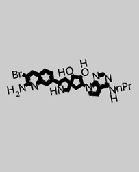 CCCNc1ncnc2c1ccn2C1CC2(CNC(c3ccc4cc(Br)c(N)nc4c3)C2)C(O)C1O